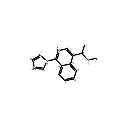 CNC(C)c1cnc(-n2cncn2)c2ccccc12